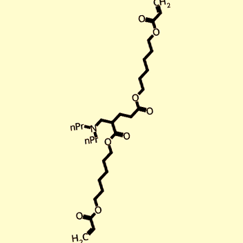 C=CC(=O)OCCCCCCOC(=O)CCC(CN(CCC)CCC)C(=O)OCCCCCCOC(=O)C=C